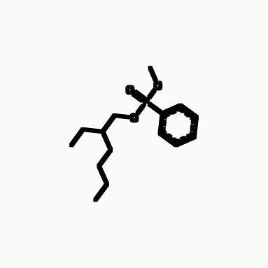 CCCCC(CC)COP(=O)(OC)c1ccccc1